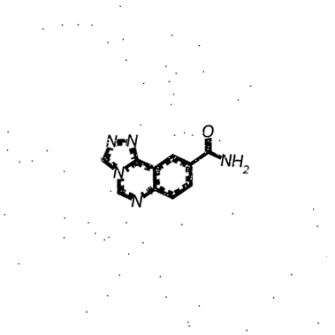 NC(=O)c1ccc2ncn3cnnc3c2c1